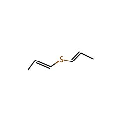 CC=CSC=CC